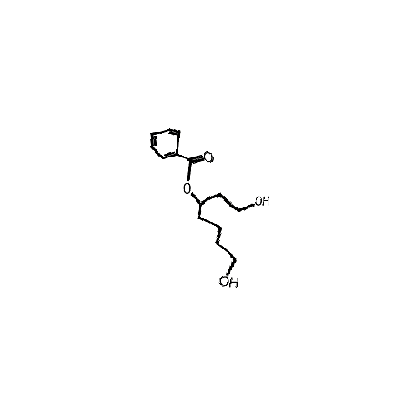 O=C(OC(CCO)CCCCO)c1ccccc1